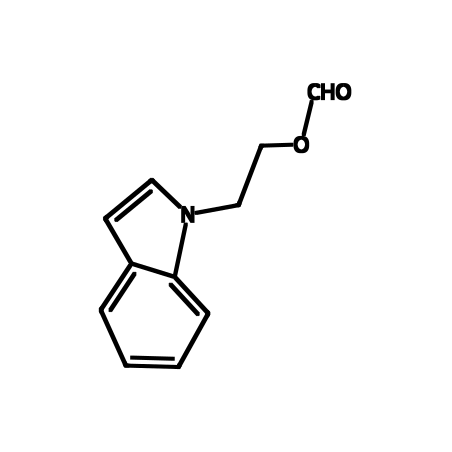 O=COCCn1ccc2ccccc21